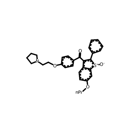 CCCOc1ccc2c(C(=O)c3ccc(OCCN4CCCC4)cc3)c(-c3ccccc3)[s+]([O-])c2c1